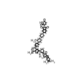 C[C@H]1CN(C2CCN(c3ccc4c(c3)C(=O)N(C3CCC(=O)NC3=O)C4=O)CC2)CCN1c1ccc(Nc2cc(N3CCC[C@@H](N4CCn5c(cc6c5CC(C)(C)C6)C4=O)[C@@H]3C)cnc2C(N)=O)nc1